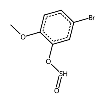 COc1ccc(Br)cc1O[SH]=O